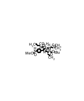 C=CCC(C(=O)O)N(C(=O)C(F)(F)F)c1cc(NC(=O)OC)ccc1-c1cn(COCC[Si](C)(C)C)c([C@H](CC=C)NC(=O)OC(C)(C)C)n1